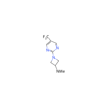 CNC1CN(c2ncc(C(F)(F)F)cn2)C1